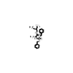 CCC(CC)COC(=O)[C@H](C)NP(=O)(OCc1ccccc1)OCc1ccccc1